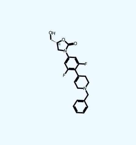 O=C1O[C@@H](CO)CN1c1cc(F)c(C2=CCN(Cc3ccccc3)CC2)c(F)c1